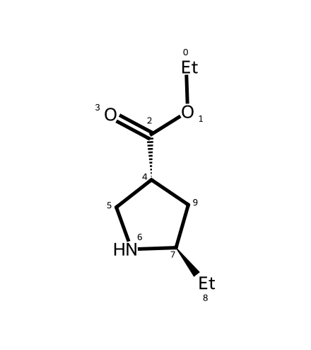 CCOC(=O)[C@H]1CN[C@H](CC)C1